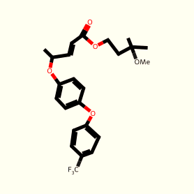 COC(C)(C)CCOC(=O)C=CC(C)Oc1ccc(Oc2ccc(C(F)(F)F)cc2)cc1